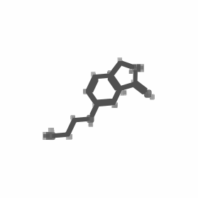 O=C1NCc2ccc(OCCO)cc21